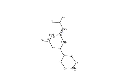 CC(C)/N=C(/NCC1CCNCC1)NC(C)C